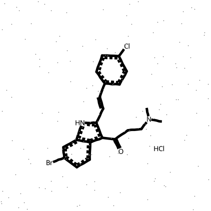 CN(C)CCC(=O)c1c(/C=C/c2ccc(Cl)cc2)[nH]c2cc(Br)ccc12.Cl